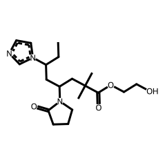 CCC(CC(CC(C)(C)C(=O)OCCO)N1CCCC1=O)n1ccnc1